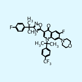 CC(C)(c1ccc(F)cc1)c1noc(-c2cn(C(C)(C)c3ccc(C(F)(F)F)cc3)c3cc(N4CCOCC4)c(F)cc3c2=O)n1